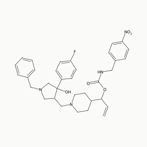 C=CC(OC(=O)NCc1ccc([N+](=O)[O-])cc1)C1CCN(CC2CN(Cc3ccccc3)CC2(O)c2ccc(F)cc2)CC1